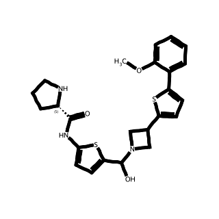 COc1ccccc1-c1ccc(C2CN(C(O)c3ccc(NC(=O)[C@@H]4CCCN4)s3)C2)s1